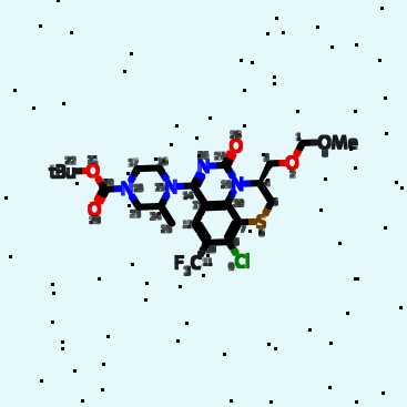 COCOC[C@H]1CSc2c(Cl)c(C(F)(F)F)cc3c(N4CCN(C(=O)OC(C)(C)C)CC4C)nc(=O)n1c23